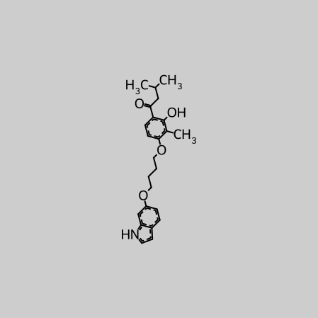 Cc1c(OCCCCOc2ccc3cc[nH]c3c2)ccc(C(=O)CC(C)C)c1O